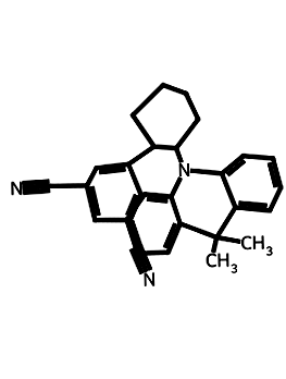 CC1(C)c2ccccc2N(C2CCCCC2c2cc(C#N)cc(C#N)c2)c2ccccc21